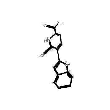 NC(=O)c1[c]cc(-c2cc3ccccc3[nH]2)c(=O)[nH]1